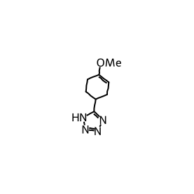 COC1=CCC(c2nnn[nH]2)CC1